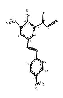 C=CC(=O)c1cc(/C=C/c2ccc(OC)cc2)cc(OC)c1O